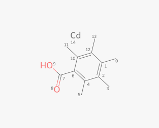 Cc1c(C)c(C)c(C(=O)O)c(C)c1C.[Cd]